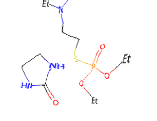 CCOP(=O)(OCC)SCCN(CC)CC.O=C1NCCN1